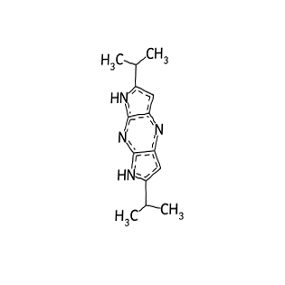 CC(C)c1cc2nc3cc(C(C)C)[nH]c3nc2[nH]1